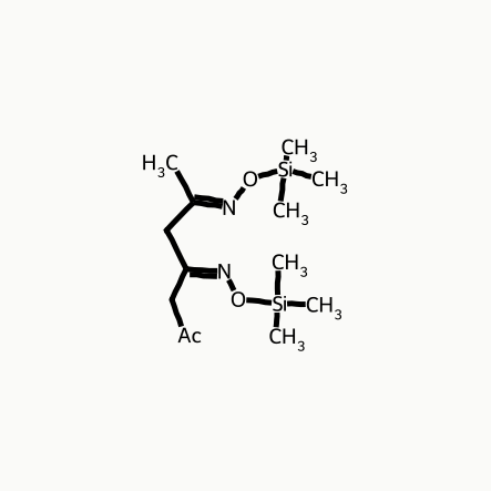 CC(=O)CC(CC(C)=NO[Si](C)(C)C)=NO[Si](C)(C)C